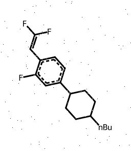 CCCCC1CCC(c2ccc(C=C(F)F)c(F)c2)CC1